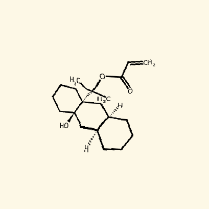 C=CC(=O)OC(C)(C)[C@@]12CCCC[C@@]1(O)C[C@@H]1CCCC[C@@H]1C2